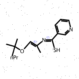 CCCC(C)(C)O/C=C(C)/N=C(\S)c1cccnc1